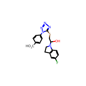 O=C(O)c1ccc(-n2nnnc2SCC(O)N2CCc3cc(F)ccc32)cc1